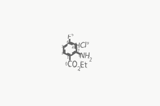 CCOC(=O)c1ccc(F)cc1N.Cl